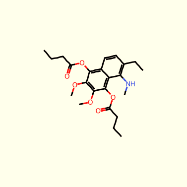 CCCC(=O)Oc1c(OC)c(OC)c(OC(=O)CCC)c2c(NC)c(CC)ccc12